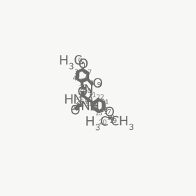 COc1ccc2c(c1)C(=O)N(C[C@@]1(c3ccc(OC(C)C)cc3)NC(=O)NC1=O)C2